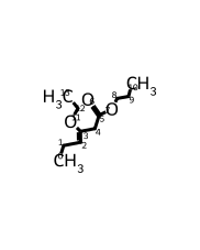 CCC=C(CC(=O)OCCC)OCC